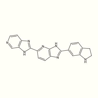 c1cc2nc(-c3ccc4nc(-c5ccc6c(c5)NCC6)[nH]c4n3)[nH]c2cn1